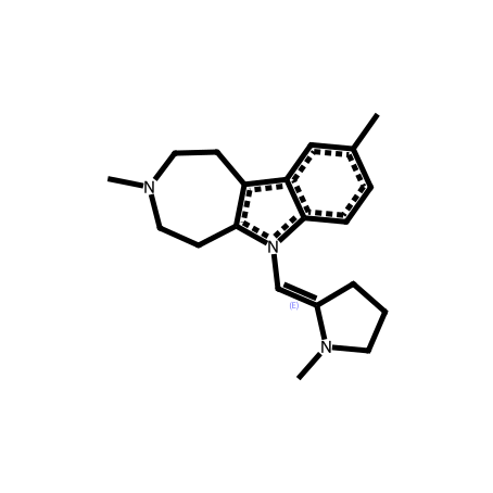 Cc1ccc2c(c1)c1c(n2/C=C2\CCCN2C)CCN(C)CC1